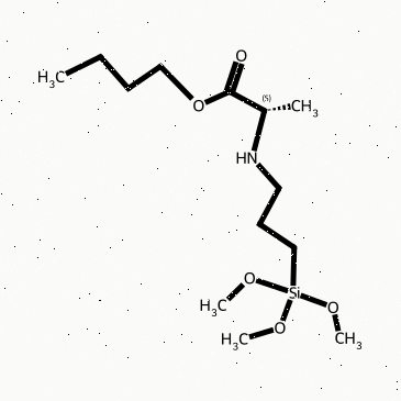 CCCCOC(=O)[C@H](C)NCCC[Si](OC)(OC)OC